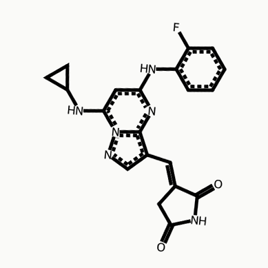 O=C1C/C(=C\c2cnn3c(NC4CC4)cc(Nc4ccccc4F)nc23)C(=O)N1